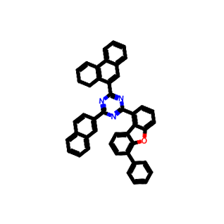 C1=Cc2c(c(-c3nc(-c4ccc5ccccc5c4)nc(-c4cccc5oc6c(-c7ccccc7)cccc6c45)n3)cc3ccccc23)CC1